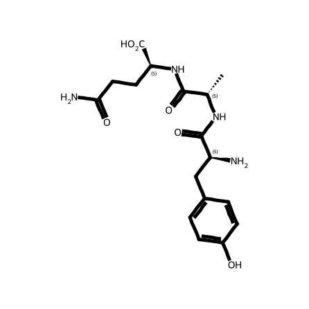 C[C@H](NC(=O)[C@@H](N)Cc1ccc(O)cc1)C(=O)N[C@@H](CCC(N)=O)C(=O)O